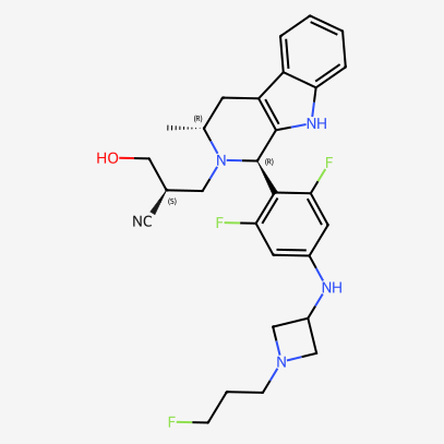 C[C@@H]1Cc2c([nH]c3ccccc23)[C@@H](c2c(F)cc(NC3CN(CCCF)C3)cc2F)N1C[C@@H](C#N)CO